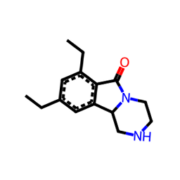 CCc1cc(CC)c2c(c1)C1CNCCN1C2=O